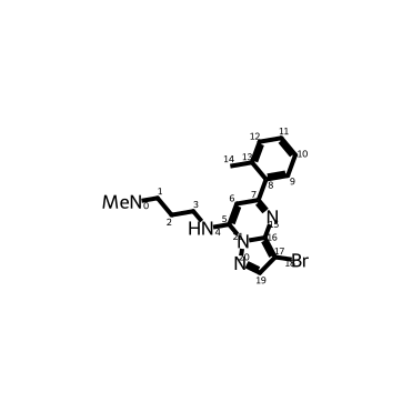 CNCCCNc1cc(-c2ccccc2C)nc2c(Br)cnn12